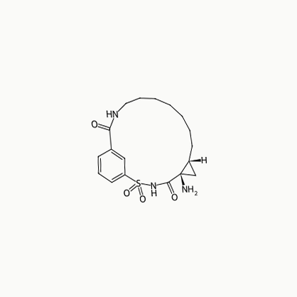 N[C@]12C[C@H]1CCCCCCCNC(=O)c1cccc(c1)S(=O)(=O)NC2=O